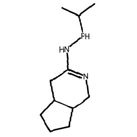 CC(C)PNC1=NCC2CCCC2C1